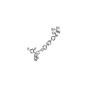 C=NN(C(=O)N(C)c1ccc(N2CCN(c3ccc(OCC4COC(Cn5cncn5)(c5ccc(F)cc5F)C4)cc3)CC2)cc1)C(CC)CC